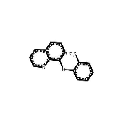 O=C(O)c1ccccc1Nc1cccc2cccnc12